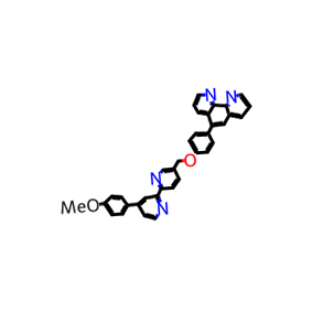 COc1ccc(-c2ccnc(-c3ccc(COc4ccc(-c5cc6cccnc6c6ncccc56)cc4)cn3)c2)cc1